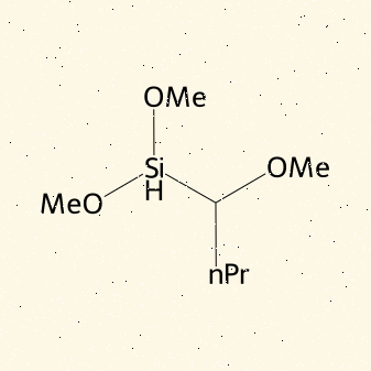 CCCC(OC)[SiH](OC)OC